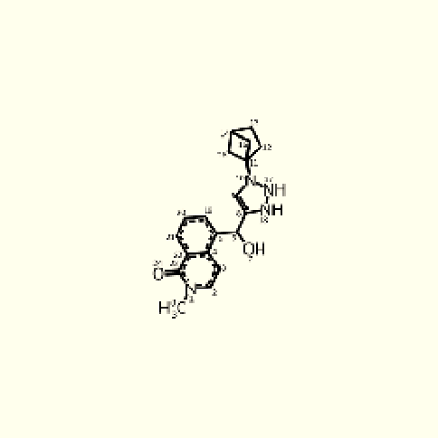 Cn1ccc2c(C(O)C3=CN(C45CCC(C4)C5)NN3)cccc2c1=O